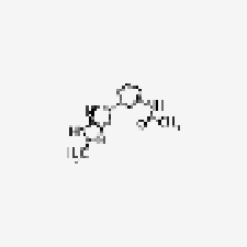 CC(=O)Nc1cc(-c2cnc3[nH]c(C)nc3c2)ccn1